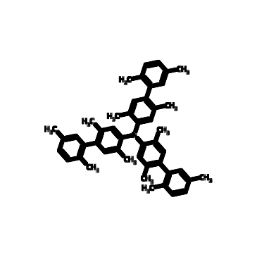 Cc1ccc(C)c(-c2cc(C)c(N(c3cc(C)c(-c4cc(C)ccc4C)cc3C)c3cc(C)c(-c4cc(C)ccc4C)cc3C)cc2C)c1